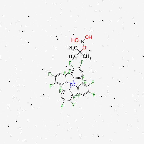 CC(C)(C)OB(O)O.Fc1cc(F)c([N+](c2c(F)cc(F)c(F)c2F)(c2c(F)cc(F)c(F)c2F)c2c(F)cc(F)c(F)c2F)c(F)c1F